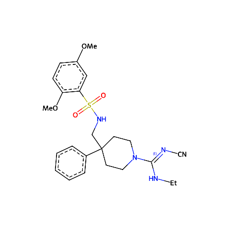 CCN/C(=N\C#N)N1CCC(CNS(=O)(=O)c2cc(OC)ccc2OC)(c2ccccc2)CC1